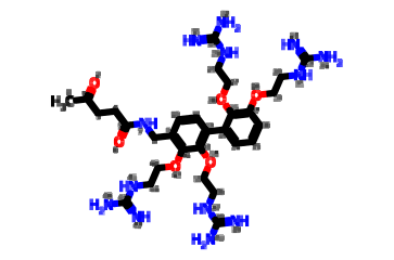 CC(=O)CCC(=O)NCc1ccc(-c2cccc(OCCNC(=N)N)c2OCCNC(=N)N)c(OCCNC(=N)N)c1OCCNC(=N)N